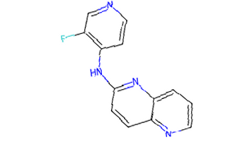 Fc1cnccc1Nc1ccc2ncccc2n1